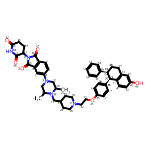 CC1CN(c2ccc3c(c2)C(=O)N(C2CCC(=O)NC2=O)C3=O)CC(C)N1CC1CCN(CCOc2ccc([C@@H]3c4ccc(O)cc4CC[C@@H]3c3ccccc3)cc2)CC1